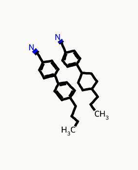 CCCC1CCC(c2ccc(C#N)cc2)CC1.CCCCc1ccc(-c2ccc(C#N)cc2)cc1